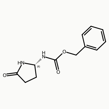 O=C1CC[C@@H](NC(=O)OCc2ccccc2)N1